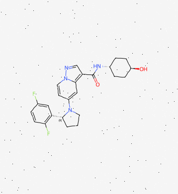 O=C(N[C@H]1CC[C@H](O)CC1)c1cnn2ccc(N3CCC[C@@H]3c3cc(F)ccc3F)cc12